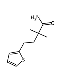 CC(C)(CCc1cccs1)C(N)=O